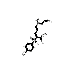 C=CCN(C)C=CC=C(C(=O)OC)S(=O)(=O)c1ccc(C)cc1